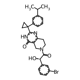 CC(C)c1cccc(C2(c3nc4c(c(=O)[nH]3)CN(C(=O)[C@H](O)c3cccc(Br)c3)CC4)CC2)c1